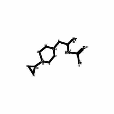 CCC(=O)NC(CN1CCN(C2CC2)CC1)C(C)C